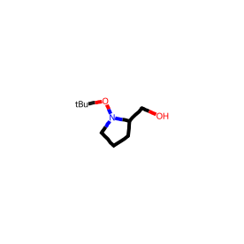 CC(C)(C)ON1CCCC1CO